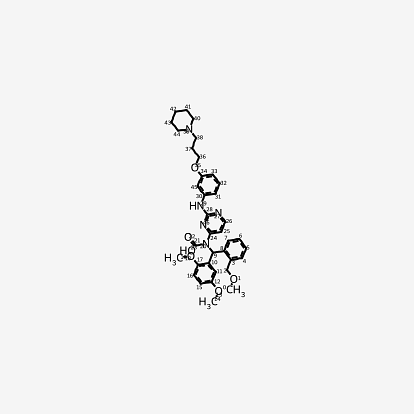 COCc1ccccc1C(c1cc(OC)ccc1OC)N(C(=O)O)c1ccnc(Nc2cccc(OCCCN3CCCCC3)c2)n1